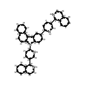 c1ccc2c(-c3ccc(-c4ccc5c(c4)c4c6ccccc6ccc4n5-c4ccc(-c5nccc6ccccc56)cn4)nc3)nccc2c1